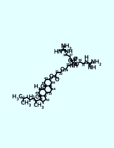 CC(C)CCCC(C)C1CCC2C3CC=C4CC(OC(=O)CCOCCNP(=O)(OCCNC(=N)N)OCCNC(=N)N)CCC4(C)C3CCC12C